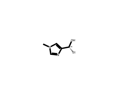 CC[C@@H](O)c1cn(C)cn1